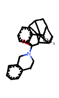 CC1C2CC3CC1CC(C2)C3(CC(=O)N1CCc2ccccc2C1)c1ccccc1